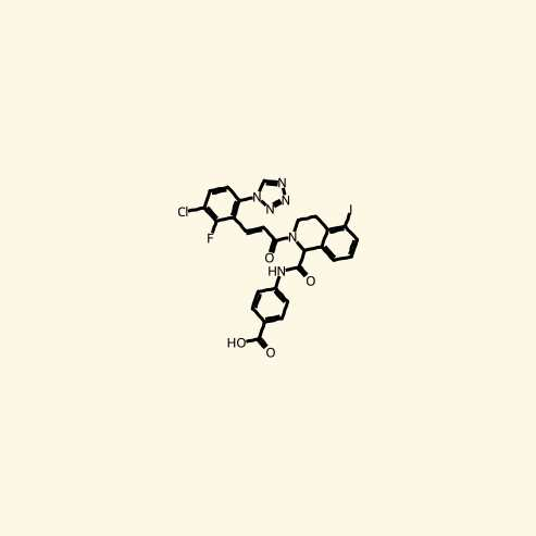 O=C(O)c1ccc(NC(=O)C2c3cccc(I)c3CCN2C(=O)/C=C/c2c(-n3cnnn3)ccc(Cl)c2F)cc1